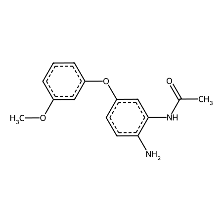 COc1cccc(Oc2ccc(N)c(NC(C)=O)c2)c1